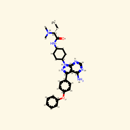 CC(C)C[C@H](C(=O)NC1CCC(n2nc(-c3ccc(Oc4ccccc4)cc3)c3c(N)ncnc32)CC1)N(C)C